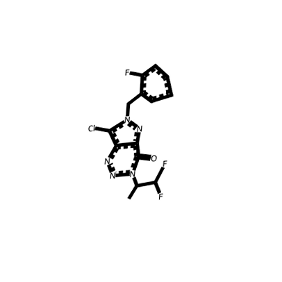 CC(C(F)F)n1nnc2c(Cl)n(Cc3ccccc3F)nc2c1=O